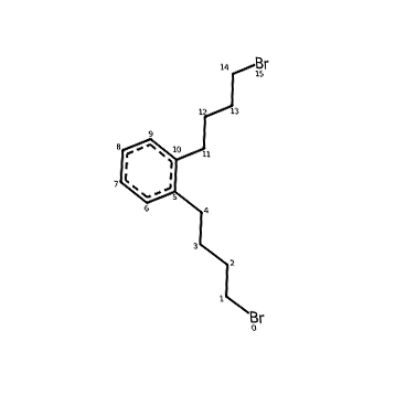 BrCCCCc1ccccc1CCCCBr